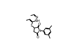 C/C=N\N/C(=C/C)SC1CC(=O)N(c2cc(C)cc(C)c2)C1=O